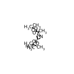 CC(C(=O)OC(C)(C)C)n1cc(B2OC(C)(C)C(C)(C)O2)cn1